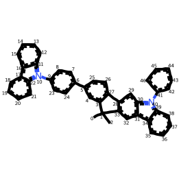 CC1(C)c2cc(-c3ccc(-n4c5ccccc5c5ccccc54)cc3)ccc2-c2cc3c(cc21)c1ccccc1n3-c1ccccc1